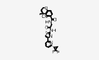 C[C@@]1(C#N)CCOc2ccc(C(=O)NCC(=O)Nc3nc(-c4cccc([C@@H]5CC5(F)F)n4)cs3)cc21